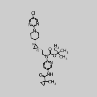 CC(C)(C)OC(=O)N(CC[C@@H]1C[C@@H]1C1CCN(c2ncc(Cl)cn2)CC1)c1ccc(NC(=O)C2(C)CC2)cn1